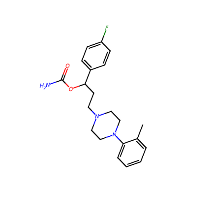 Cc1ccccc1N1CCN(CCC(OC(N)=O)c2ccc(F)cc2)CC1